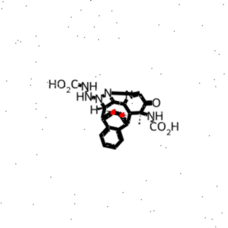 C[C@@]1(NC(=O)O)C(=O)C2=NC3C4[C@H](c5c6ccccc6c(c6ccccc56)C31)N(NNC(=O)O)N24